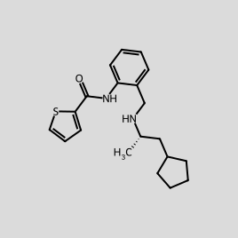 C[C@@H](CC1CCCC1)NCc1ccccc1NC(=O)c1cccs1